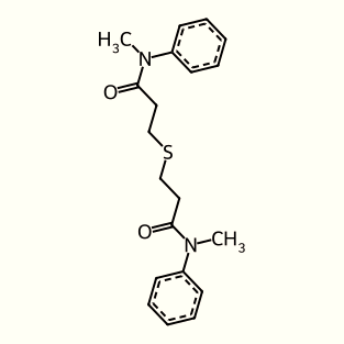 CN(C(=O)CCSCCC(=O)N(C)c1ccccc1)c1ccccc1